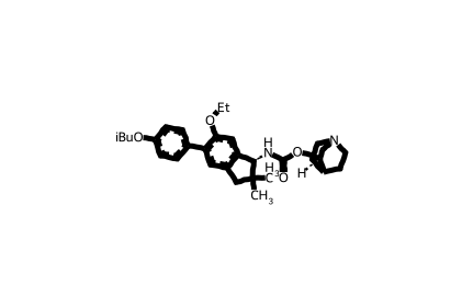 CCOc1cc2c(cc1-c1ccc(OCC(C)C)cc1)CC(C)(C)[C@H]2NC(=O)O[C@H]1CN2CCC1CC2